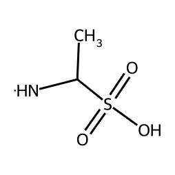 CC([NH])S(=O)(=O)O